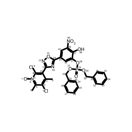 Cc1c(Cl)c(C)[n+]([O-])c(Cl)c1-c1noc(-c2cc(OP(=O)(OCc3ccccc3)OCc3ccccc3)c(O)c([N+](=O)[O-])c2)n1